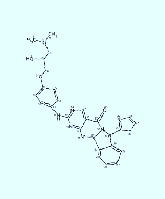 CN(C)CC(O)COc1ccc(Nc2ncc3c(=O)n4c(nc3n2)c2ccccc2n4-c2nccs2)cc1